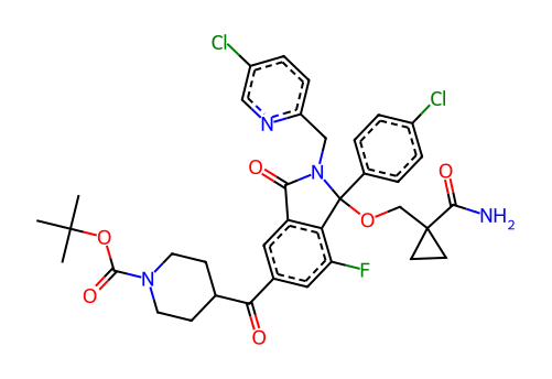 CC(C)(C)OC(=O)N1CCC(C(=O)c2cc(F)c3c(c2)C(=O)N(Cc2ccc(Cl)cn2)C3(OCC2(C(N)=O)CC2)c2ccc(Cl)cc2)CC1